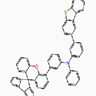 c1ccc(N(c2cccc(-c3ccc4sc5ccccc5c4c3)c2)c2cccc(-c3cccc4c3Oc3ccccc3C43c4ccccc4-c4ccccc43)c2)cc1